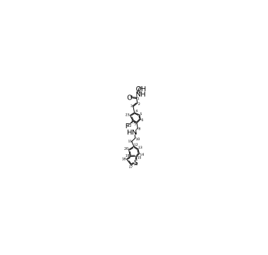 O=C(/C=C/c1ccc(CNCCc2ccc3sccc3c2)c(F)c1)NO